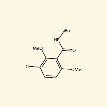 CCC(C)PC(=O)c1c(OC)ccc(Cl)c1OC